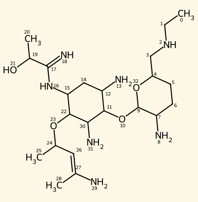 CCNCC1CCC(N)C(OC2C(N)CC(NC(=N)C(C)O)C(OC(C)/C=C(\C)N)C2N)O1